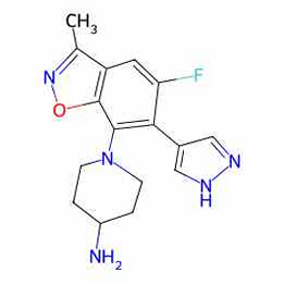 Cc1noc2c(N3CCC(N)CC3)c(-c3cn[nH]c3)c(F)cc12